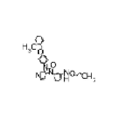 C=CCOCNc1cccc(-n2c(=O)n(-c3ccc(OCc4ccccc4C)cc3)c3cnccc32)c1